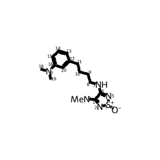 CNc1n[s+]([O-])nc1NCCCCc1cccc(N(C)C)c1